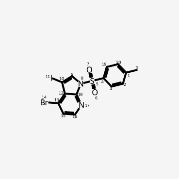 Cc1ccc(S(=O)(=O)n2cc(I)c3c(Br)ccnc32)cc1